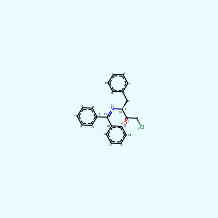 O=C(CCl)[C@H](Cc1ccccc1)N=C(c1ccccc1)c1ccccc1